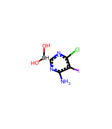 Nc1ncnc(Cl)c1I.OBO